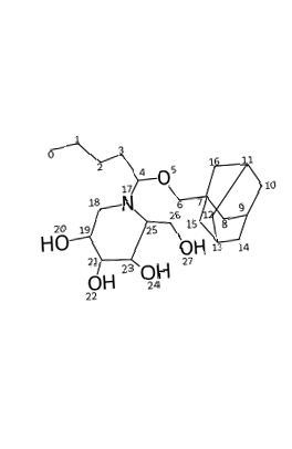 CCCCC(OCC12CC3CC(CC(C3)C1)C2)N1CC(O)C(O)C(O)C1CO